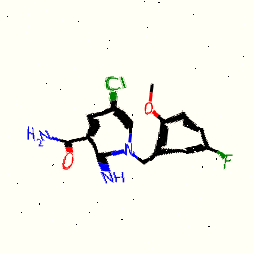 COc1ccc(F)cc1Cn1cc(Cl)cc(C(N)=O)c1=N